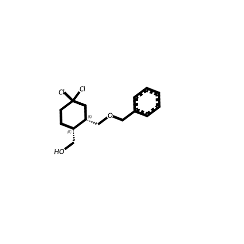 OC[C@@H]1CCC(Cl)(Cl)C[C@@H]1COCc1ccccc1